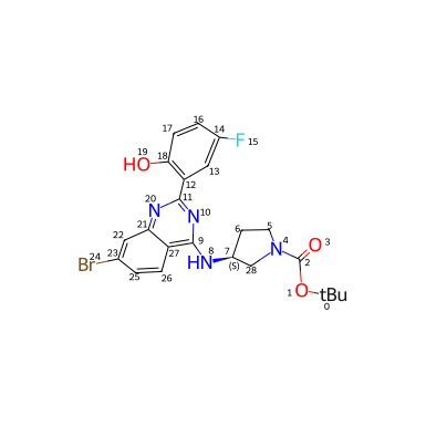 CC(C)(C)OC(=O)N1CC[C@H](Nc2nc(-c3cc(F)ccc3O)nc3cc(Br)ccc23)C1